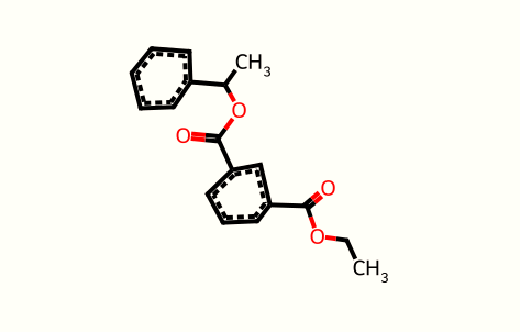 CCOC(=O)c1cccc(C(=O)OC(C)c2ccccc2)c1